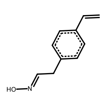 C=Cc1ccc(CC=NO)cc1